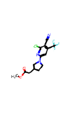 COC(=O)CC1CCN(c2cc(C(F)(F)F)c(C#N)c(Cl)n2)C1